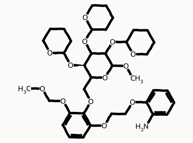 COCOc1cccc(OCCOc2ccccc2N)c1OCC1OC(OC)C(OC2CCCCO2)C(OC2CCCCO2)[C@@H]1OC1CCCCO1